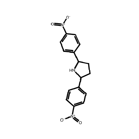 O=[N+]([O-])c1ccc(C2CCC(c3ccc([N+](=O)[O-])cc3)N2)cc1